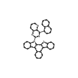 c1ccc2c(-c3nc(-n4c5ccccc5c5c6ccccc6c6c7ccccc7sc6c54)nc4cccnc34)cccc2c1